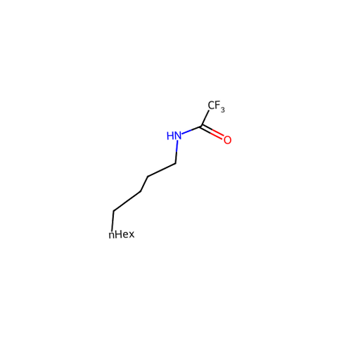 CCCCCCCCCCNC(=O)C(F)(F)F